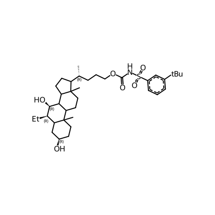 CC[C@@H]1C2C[C@H](O)CCC2(C)C2CCC3(C)C(CCC3[C@H](C)CCCOC(=O)NS(=O)(=O)c3cccc(C(C)(C)C)c3)C2[C@@H]1O